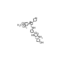 CC(C)(C)c1ccc(-n2nc(-c3ccncc3)cc2CNc2cccc(C(=O)N[C@@H](Cc3ccc(O)cc3)C(N)=O)c2)cc1